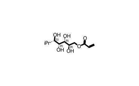 C=CC(=O)OC[C@@H](O)[C@@H](O)[C@H](O)[C@@H](O)C(C)C